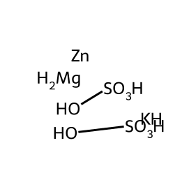 O=S(=O)(O)O.O=S(=O)(O)O.[KH].[MgH2].[Zn]